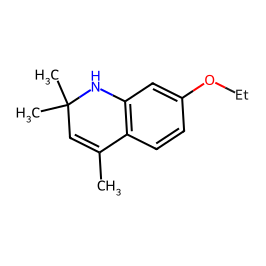 CCOc1ccc2c(c1)NC(C)(C)C=C2C